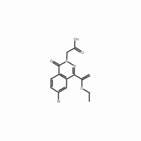 C=C(OCC)c1nn(CC(=O)O)c(=O)c2ccc(Br)cc12